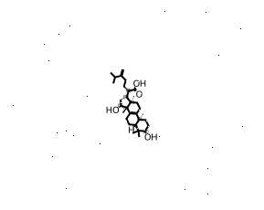 C=C(CC[C@@H](C(=O)O)[C@H]1C[C@H](O)[C@@]2(C)C3=C(CC[C@]12C)[C@@]1(C)CC[C@@H](O)C(C)(C)[C@@H]1CC3)C(C)C